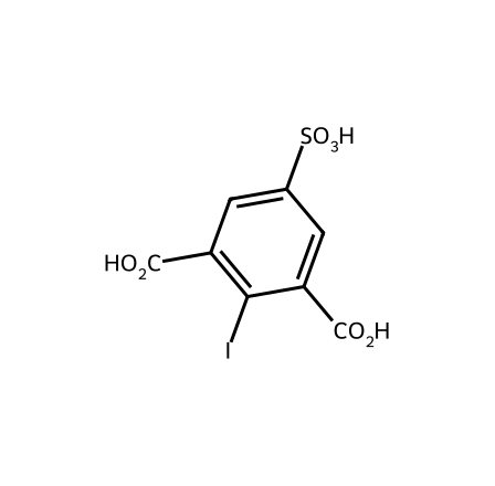 O=C(O)c1cc(S(=O)(=O)O)cc(C(=O)O)c1I